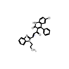 CCCn1c(/C=C/C(=O)c2c(-c3ccccc3)c3cc(Cl)ccc3[nH]c2=O)nc2ccccc21